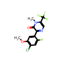 COc1cc(-c2ncc(C(F)(F)F)n(C)c2=O)c(F)cc1Cl